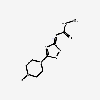 CN1CCN(c2n/c(=N/C(=O)NC(C)(C)C)ss2)CC1